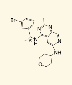 Cc1nc(N[C@H](C)c2cccc(Br)c2)c2cc(NC3CCOCC3)ncc2n1